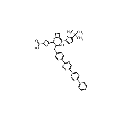 CC(C)(C)c1ccc(C(NC(Cc2ccc(-c3ncc(-c4ccc(-c5ccccc5)cc4)cn3)cc2)C(=O)N2CC(C(=O)O)C2)=C2CCC2)s1